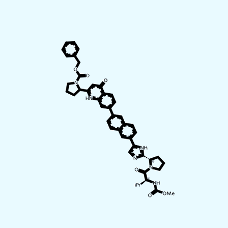 COC(=O)N[C@H](C(=O)N1CCC[C@H]1c1ncc(-c2ccc3cc(-c4ccc5c(=O)cc(C6CCCN6C(=O)OCc6ccccc6)[nH]c5c4)ccc3c2)[nH]1)C(C)C